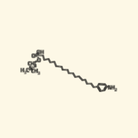 C[N+](C)(C)CCOP(=O)(O)CCCCCCCCCCCCCCCCCCc1ccc(N)cc1